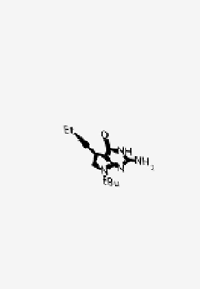 CCC#Cc1cn(C(C)(C)C)c2nc(N)[nH]c(=O)c12